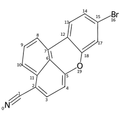 N#Cc1ccc2c3c(cccc13)-c1ccc(Br)cc1O2